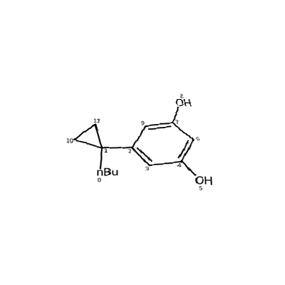 CCCCC1(c2cc(O)cc(O)c2)CC1